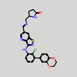 O=C1CCC(CN=Cc2cnc3c(Nc4cccc(-c5ccc6c(c5)OCCO6)c4Cl)nsc3c2)N1